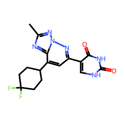 Cc1nc2c(C3CCC(F)(F)CC3)cc(-c3c[nH]c(=O)[nH]c3=O)nn2n1